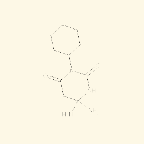 NC1(N)CC(=O)N(C2CCCCC2)C(=O)N1